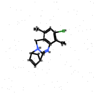 Cc1cc(Cl)c(C)c2c1CN1C(=N2)C2C=CC1C2